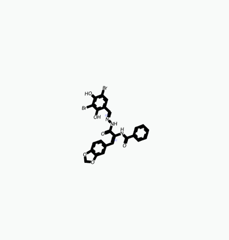 O=C(N/N=C/c1cc(Br)c(O)c(Br)c1O)/C(=C\c1ccc2c(c1)OCO2)NC(=O)c1ccccc1